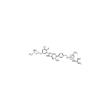 C[C@H](N)CCCc1cc(Cl)c(F)c(-c2cc3c([nH]2)=NC(O)N(c2ccc(CO[C@H](CCNC(=N)N)CN(C)C)cc2)C=3)c1